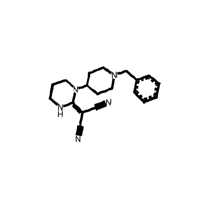 N#CC(C#N)=C1NCCCN1C1CCN(Cc2ccccc2)CC1